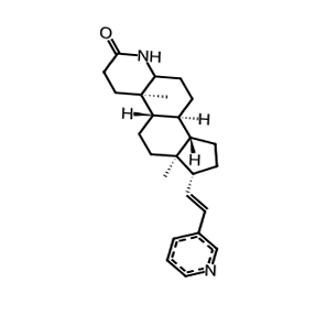 C[C@]12CC[C@H]3[C@@H](CCC4NC(=O)CC[C@@]43C)[C@@H]1CC[C@@H]2/C=C/c1cccnc1